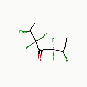 CC(F)C(F)(F)C(=O)C(F)(F)C(C)F